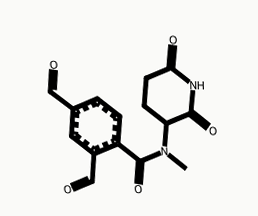 CN(C(=O)c1ccc(C=O)cc1C=O)C1CCC(=O)NC1=O